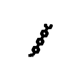 C=CC(=O)c1ccc(-c2ccc(-c3ccc(CCC)cc3)cc2)cc1